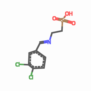 O=S(=O)(O)CCN=Cc1ccc(Cl)c(Cl)c1